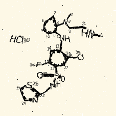 CNCCN(C)c1ccccc1Nc1cc(F)c(S(=O)(=O)Nc2nccs2)cc1Cl.Cl